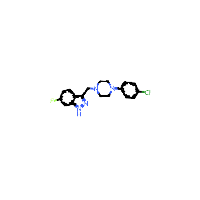 Fc1ccc2c(CN3CCN(c4ccc(Cl)cc4)CC3)n[nH]c2c1